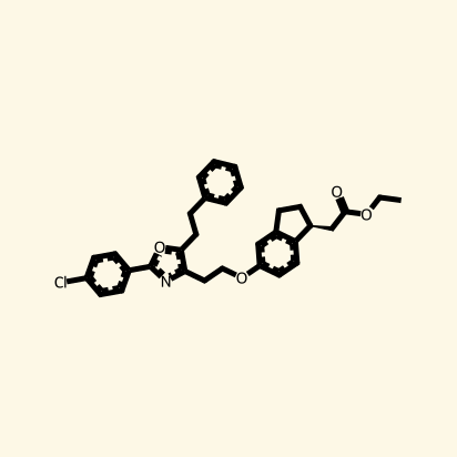 CCOC(=O)C[C@@H]1CCc2cc(OCCc3nc(-c4ccc(Cl)cc4)oc3CCc3ccccc3)ccc21